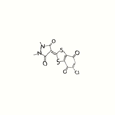 CN1C(=O)C(=C2SC3=C(S2)C(=O)C(Cl)=CC3=O)C(=O)N1C